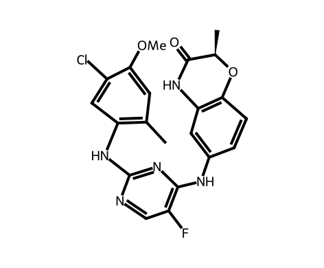 COc1cc(C)c(Nc2ncc(F)c(Nc3ccc4c(c3)NC(=O)[C@@H](C)O4)n2)cc1Cl